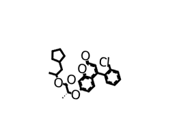 CC(CC1CCCC1)OC(=O)[C@@H](C)Oc1ccc2c(-c3ccccc3Cl)cc(=O)oc2c1